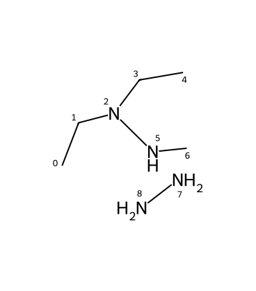 CCN(CC)NC.NN